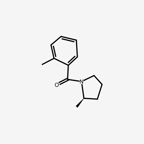 Cc1ccccc1C(=O)N1CCC[C@H]1C